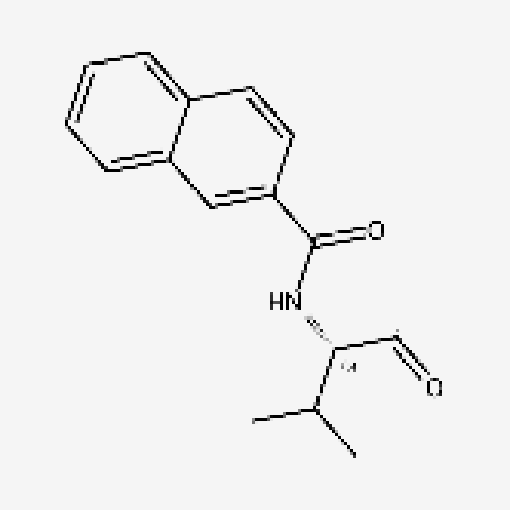 CC(C)[C@@H]([C]=O)NC(=O)c1ccc2ccccc2c1